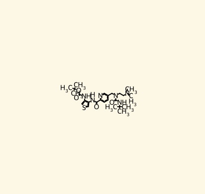 CN(C)CCN(Cc1ccc(C(=O)Nc2cscc2NC(=O)OC(C)(C)C)nc1)C(=O)NC(C)(C)C